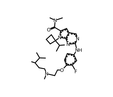 CC(C)C(C)CCN(C)CCOc1ccc(Nc2ncc3cc(C(=O)N(C)C)n(C4(C(C)C)CCC4)c3n2)cc1F